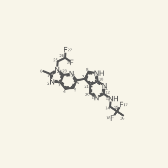 Cc1nc2ccc(-c3c[nH]c4nc(NCC(C)(F)F)ncc34)nc2n1CC(F)F